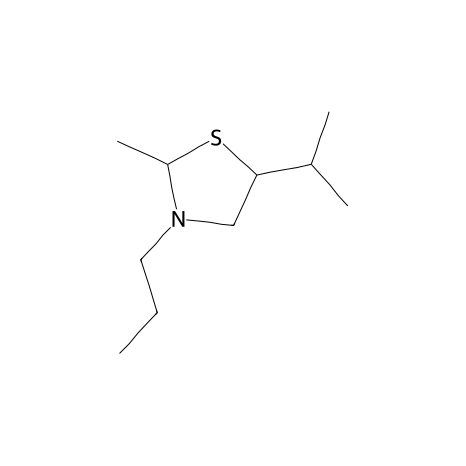 CCCN1CC(C(C)C)SC1C